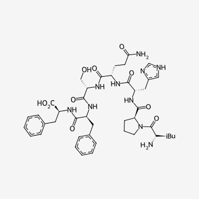 CC[C@H](C)[C@H](N)C(=O)N1CCC[C@H]1C(=O)N[C@@H](Cc1c[nH]cn1)C(=O)N[C@@H](CCC(N)=O)C(=O)N[C@@H](CO)C(=O)N[C@@H](Cc1ccccc1)C(=O)N[C@@H](Cc1ccccc1)C(=O)O